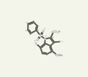 COc1ccc(F)c2c1c(F)c(C(=O)O)n2S(=O)(=O)c1ccccc1